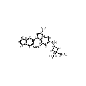 [2H]c1cc(-c2ccc3ncnn3c2)c2c(OC)nc(NC3CC(C)(NC(C)=O)C3)nn12